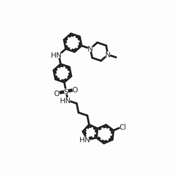 CN1CCN(c2cccc(Nc3ccc(S(=O)(=O)NCCCc4c[nH]c5ccc(Cl)cc45)cc3)c2)CC1